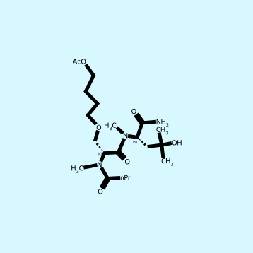 CCCC(=O)N(C)[C@H](COCCCCOC(C)=O)C(=O)N(C)[C@@H](CC(C)(C)O)C(N)=O